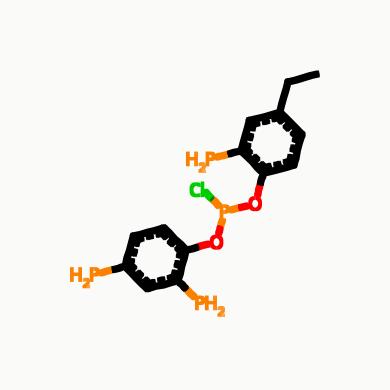 CCc1ccc(OP(Cl)Oc2ccc(P)cc2P)c(P)c1